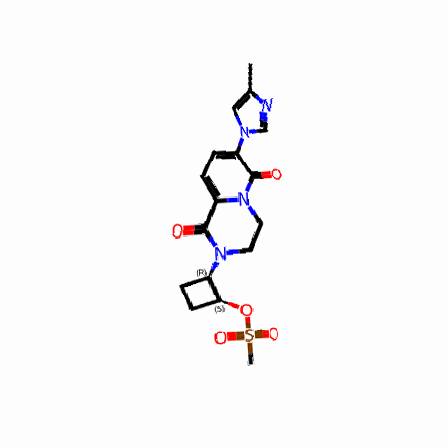 Cc1cn(-c2ccc3n(c2=O)CCN([C@@H]2CC[C@@H]2OS(C)(=O)=O)C3=O)cn1